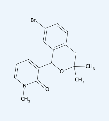 Cn1cccc(C2OC(C)(C)Cc3ccc(Br)cc32)c1=O